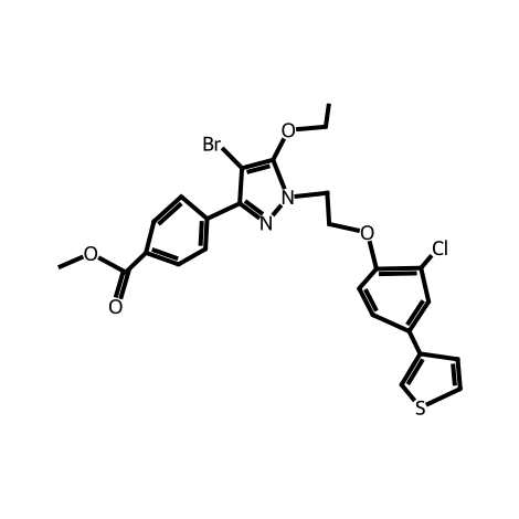 CCOc1c(Br)c(-c2ccc(C(=O)OC)cc2)nn1CCOc1ccc(-c2ccsc2)cc1Cl